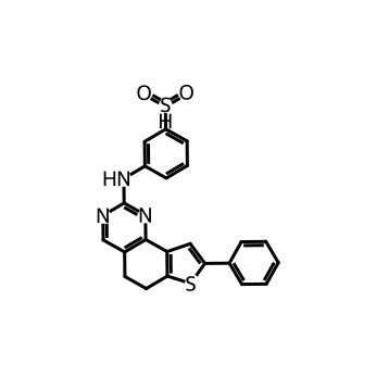 O=[SH](=O)c1cccc(Nc2ncc3c(n2)-c2cc(-c4ccccc4)sc2CC3)c1